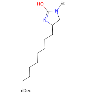 CCCCCCCCCCCCCCCCCCC1CN(CC)C(O)=N1